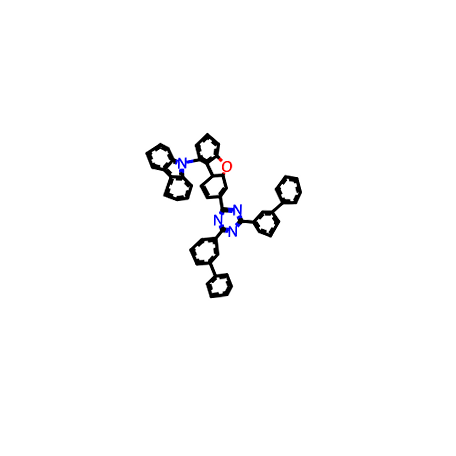 C1=CC2c3c(cccc3-n3c4ccccc4c4ccccc43)OC2C=C1c1nc(-c2cccc(-c3ccccc3)c2)nc(-c2cccc(-c3ccccc3)c2)n1